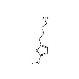 COc1ccc(CCCCO)s1